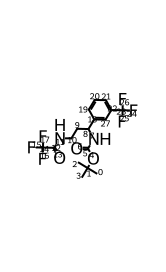 CC(C)(C)OC(=O)NC(CCNC(=O)C(F)(F)F)c1cccc(C(F)(F)F)c1